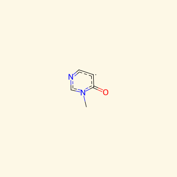 Cn1cnc[c]c1=O